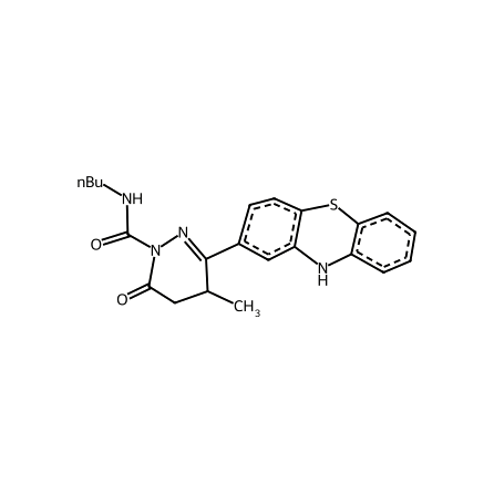 CCCCNC(=O)N1N=C(c2ccc3c(c2)Nc2ccccc2S3)C(C)CC1=O